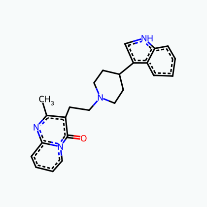 Cc1nc2ccccn2c(=O)c1CCN1CCC(c2c[nH]c3ccccc23)CC1